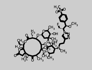 CC[C@H]1OC(=O)[C@H](C)[C@@H](O[C@H]2C[C@@](C)(OC)[C@@H](O)[C@H](C)O2)C[C@@H](O[C@@H]2O[C@H](C)C[C@H](N(C)CCc3cn([C@H](CF)[C@H](OC)c4ccc(S(C)(=O)=O)cc4)nn3)[C@H]2O)[C@](C)(OC)C[C@@H](C)C(=O)[C@H](C)[C@H]2CC(=O)O[C@@]21C